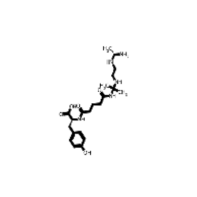 C[C@H](N)NCCNC(C)(C)NC(=O)CCCC(=O)N[C@@H](Cc1ccc(O)cc1)C(=O)O